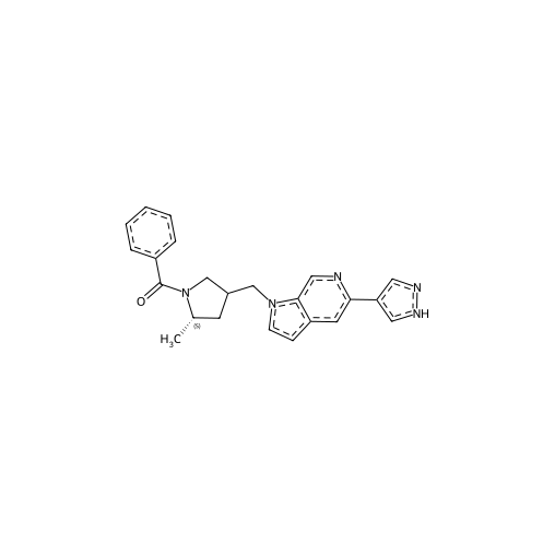 C[C@H]1CC(Cn2ccc3cc(-c4cn[nH]c4)ncc32)CN1C(=O)c1ccccc1